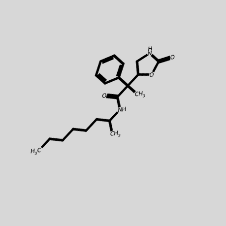 CCCCCCC(C)NC(=O)C(C)(c1ccccc1)C1CNC(=O)O1